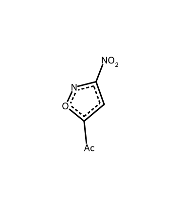 CC(=O)c1cc([N+](=O)[O-])no1